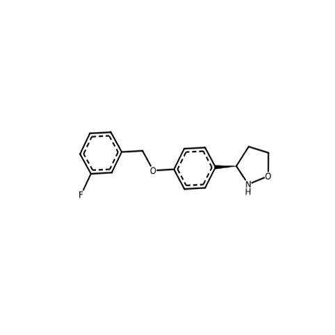 Fc1cccc(COc2ccc([C@H]3CCON3)cc2)c1